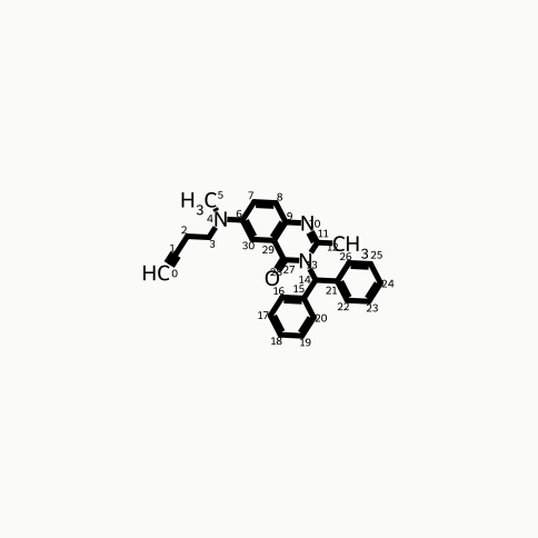 C#CCCN(C)c1ccc2nc(C)n(C(c3ccccc3)c3ccccc3)c(=O)c2c1